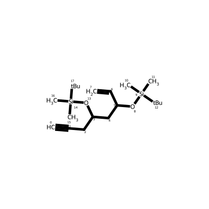 C#CCC(CC(C=C)O[Si](C)(C)C(C)(C)C)O[Si](C)(C)C(C)(C)C